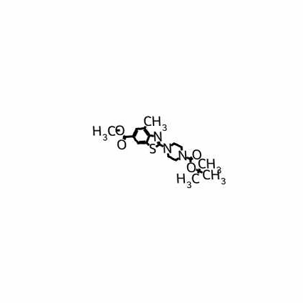 COC(=O)c1cc(C)c2nc(N3CCN(C(=O)OC(C)(C)C)CC3)sc2c1